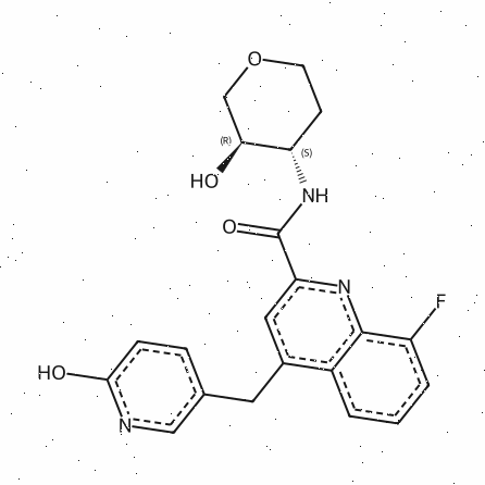 O=C(N[C@H]1CCOC[C@@H]1O)c1cc(Cc2ccc(O)nc2)c2cccc(F)c2n1